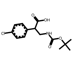 CC(C)(C)OC(=O)NCC(C(=O)O)c1ccc(Cl)cc1